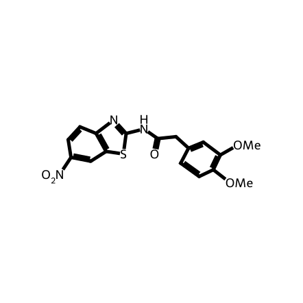 COc1ccc(CC(=O)Nc2nc3ccc([N+](=O)[O-])cc3s2)cc1OC